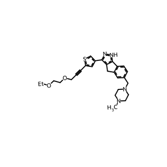 CCOCCOCC#Cc1cc(-c2n[nH]c3c2Cc2cc(CN4CCN(C)CC4)ccc2-3)cs1